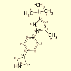 Cc1cc(C(C)(C)C)nn1-c1ccc(C2CNC2)cc1